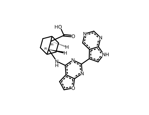 O=C(O)[C@@H]1C2CCC(CC2)[C@H]1Nc1nc(-c2c[nH]c3ncncc23)nc2occc12